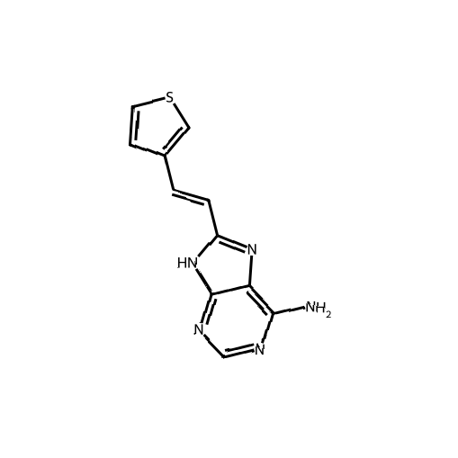 Nc1ncnc2[nH]c(/C=C/c3ccsc3)nc12